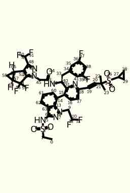 CCS(=O)(=O)Nc1nn(CC(F)F)c2c(-c3ccc(C#CC(C)(C)S(=O)(=O)C4CC4)nc3[C@H](Cc3cc(F)cc(F)c3)NC(=O)Cn3nc(C(F)F)c4c3C(F)(F)[C@@H]3C[C@H]43)cccc12